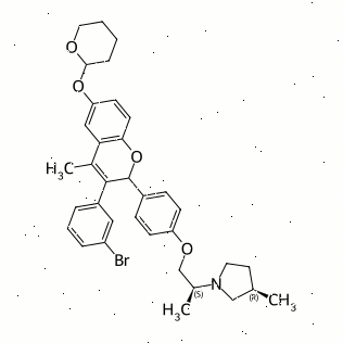 CC1=C(c2cccc(Br)c2)C(c2ccc(OC[C@H](C)N3CC[C@@H](C)C3)cc2)Oc2ccc(OC3CCCCO3)cc21